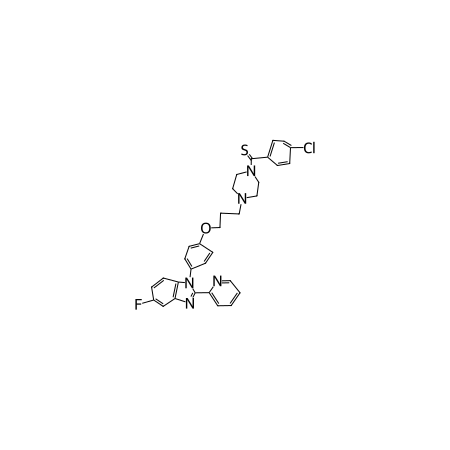 Fc1ccc2c(c1)nc(-c1ccccn1)n2-c1ccc(OCCCN2CCN(C(=S)c3ccc(Cl)cc3)CC2)cc1